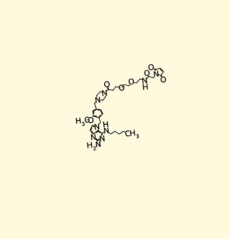 CCCCCNc1nc(N)nc2ccn(Cc3ccc(CN4CCN(C(=O)CCOCCOCCNC(=O)CN5C(=O)C=CC5=O)CC4)cc3OC)c12